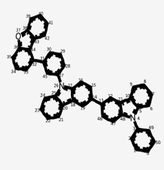 c1ccc(-n2c3ccccc3c3cc(-c4ccc5c(c4)c4ccccc4n5-c4cccc(-c5cccc6oc7ccccc7c56)c4)ccc32)cc1